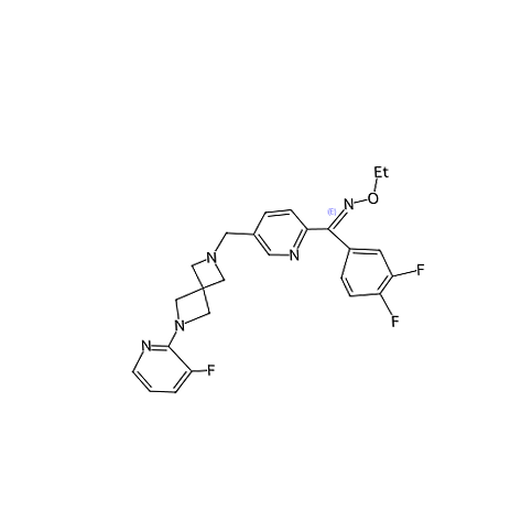 CCO/N=C(\c1ccc(F)c(F)c1)c1ccc(CN2CC3(C2)CN(c2ncccc2F)C3)cn1